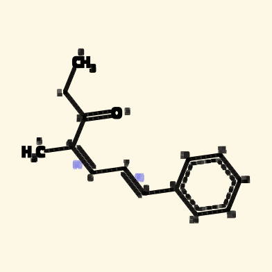 CCC(=O)/C(C)=C\C=C\c1ccccc1